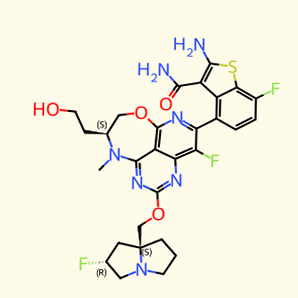 CN1c2nc(OC[C@@]34CCCN3C[C@H](F)C4)nc3c(F)c(-c4ccc(F)c5sc(N)c(C(N)=O)c45)nc(c23)OC[C@@H]1CCO